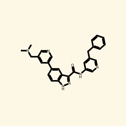 CN(C)Cc1cncc(-c2ccc3[nH]nc(C(=O)Nc4cncc(Cc5ccccc5)c4)c3c2)c1